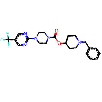 O=C(OC1CCN(Cc2ccccc2)CC1)N1CCN(c2ncc(C(F)(F)F)cn2)CC1